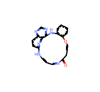 O=C1C/C=C\Oc2ccccc2Nc2ncnc3ccc(nc23)N/C=C\C=N/1